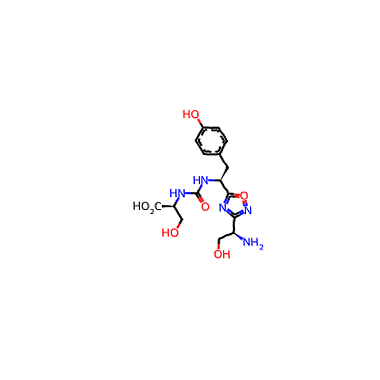 N[C@@H](CO)c1noc([C@H](Cc2ccc(O)cc2)NC(=O)N[C@@H](CO)C(=O)O)n1